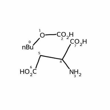 CCCCOC(=O)O.NC(CC(=O)O)C(=O)O